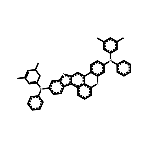 CC1=CC(C)CC(N(c2ccccc2)c2ccc3c(c2)sc2cc4c5c(cccc5c23)Sc2cc(N(c3ccccc3)c3cc(C)cc(C)c3)ccc2-4)=C1